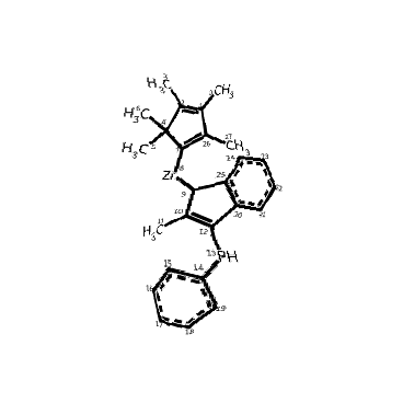 CC1=C(C)C(C)(C)[C]([Zr][CH]2C(C)=C(Pc3ccccc3)c3ccccc32)=C1C